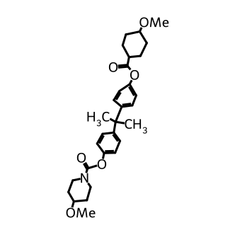 COC1CCC(C(=O)Oc2ccc(C(C)(C)c3ccc(OC(=O)N4CCC(OC)CC4)cc3)cc2)CC1